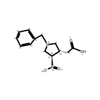 O=C(O)C[C@H]1CN(Cc2ccccc2)C[C@@H]1[N+](=O)[O-]